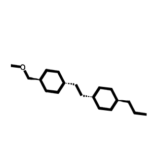 CCC[C@H]1CC[C@H](CC[C@H]2CC[C@H](COC)CC2)CC1